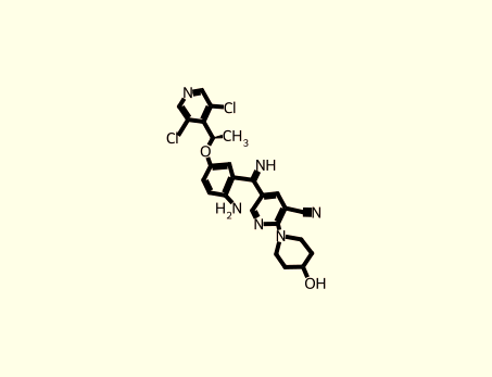 C[C@@H](Oc1ccc(N)c(C(=N)c2cnc(N3CCC(O)CC3)c(C#N)c2)c1)c1c(Cl)cncc1Cl